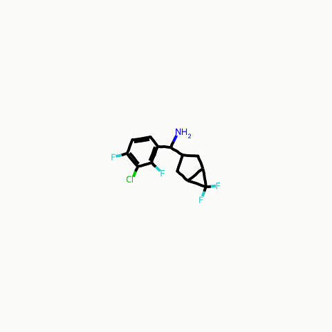 NC(c1ccc(F)c(Cl)c1F)C1CC2C(C1)C2(F)F